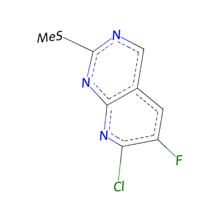 CSc1ncc2cc(F)c(Cl)nc2n1